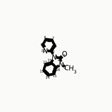 Cn1c(=O)n(-c2ccccn2)c2ccccc21